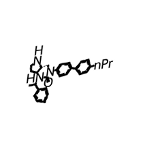 CCCc1ccc(-c2ccc(N(C[C@@H]3CCCN3)C(=O)NC(C)c3ccccc3)cc2)cc1